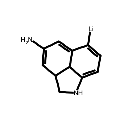 [Li][C]1=CC=C2NCC3C=C(N)C=C1C23